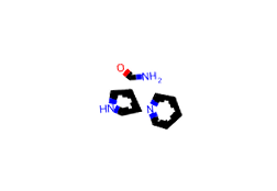 NC=O.c1cc[nH]c1.c1ccncc1